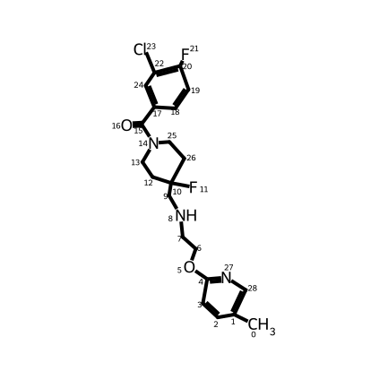 Cc1ccc(OCCNCC2(F)CCN(C(=O)c3ccc(F)c(Cl)c3)CC2)nc1